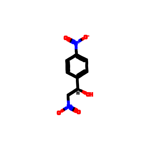 O=[N+]([O-])C[C@H](O)c1ccc([N+](=O)[O-])cc1